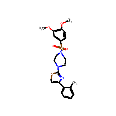 COc1ccc(S(=O)(=O)N2CCN(c3nc(-c4ccccc4C)cs3)CC2)cc1OC